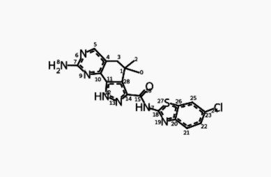 CC1(C)Cc2cnc(N)nc2-c2[nH]nc(C(=O)Nc3nc4ccc(Cl)cc4s3)c21